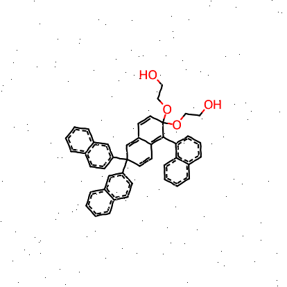 OCCOC1(OCCO)C=CC2=CC(c3ccc4ccccc4c3)(c3ccc4ccccc4c3)C=CC2=C1c1cccc2ccccc12